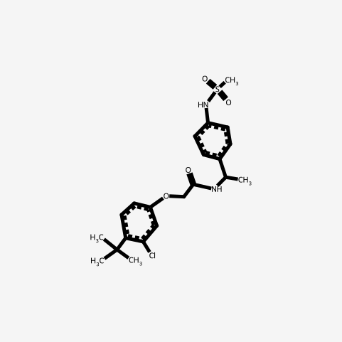 CC(NC(=O)COc1ccc(C(C)(C)C)c(Cl)c1)c1ccc(NS(C)(=O)=O)cc1